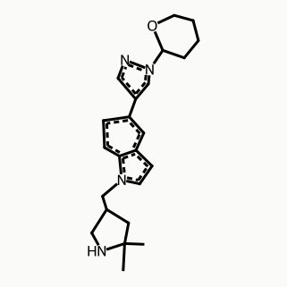 CC1(C)CC(Cn2ccc3cc(-c4cnn(C5CCCCO5)c4)ccc32)CN1